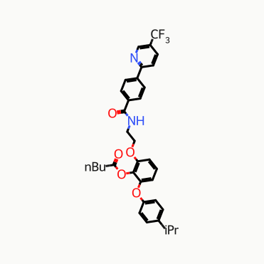 CCCCC(=O)Oc1c(OCCNC(=O)c2ccc(-c3ccc(C(F)(F)F)cn3)cc2)cccc1Oc1ccc(C(C)C)cc1